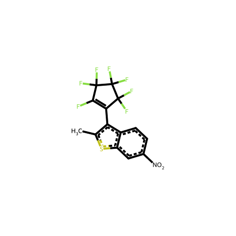 Cc1sc2cc([N+](=O)[O-])ccc2c1C1=C(F)C(F)(F)C(F)(F)C1(F)F